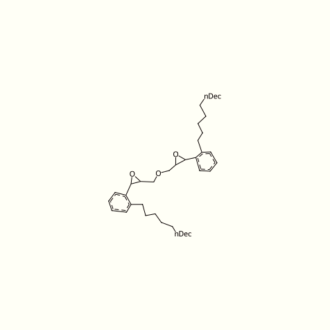 CCCCCCCCCCCCCCCc1ccccc1C1OC1COCC1OC1c1ccccc1CCCCCCCCCCCCCCC